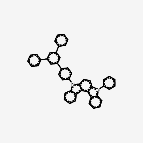 c1ccc(-c2cc(-c3ccccc3)cc(-c3ccc(-n4c5ccccc5c5c6c7ccccc7n(-c7ccccc7)c6ccc54)cc3)c2)cc1